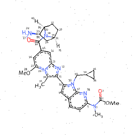 COC(=O)N(C)c1ccc2cc(-c3nc4cc(C(=O)N5[C@H]6CC[C@@H]5[C@H](N)C6)cc(OC)n4c3C)n(CC3CC3)c2n1